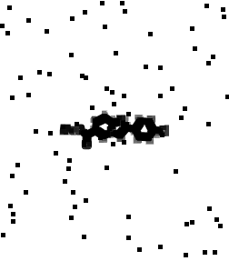 COC(=O)c1ccc2nc(-c3ccc(Cl)cc3)cn2c1